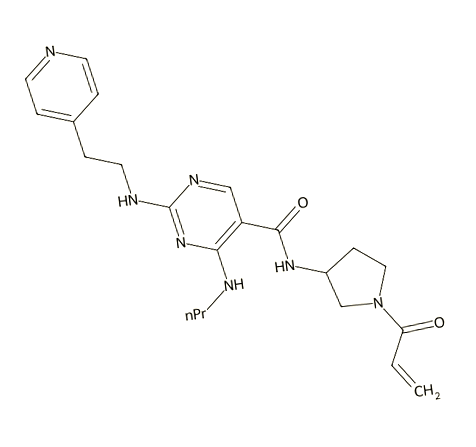 C=CC(=O)N1CCC(NC(=O)c2cnc(NCCc3ccncc3)nc2NCCC)C1